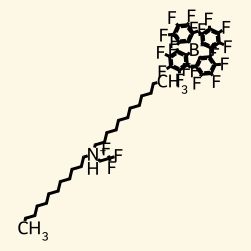 CCCCCCCCCCCC[NH+](CCCCCCCCCCCC)CC(F)(F)F.Fc1c(F)c(F)c([B-](c2c(F)c(F)c(F)c(F)c2F)(c2c(F)c(F)c(F)c(F)c2F)c2c(F)c(F)c(F)c(F)c2F)c(F)c1F